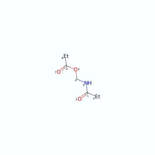 CCC(=O)NCOC(=O)CC